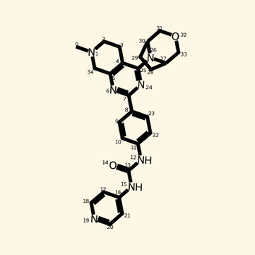 CN1CCc2c(nc(-c3ccc(NC(=O)Nc4ccncc4)cc3)nc2N2C3CCC2COC3)C1